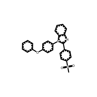 CS(=O)(=O)c1ccc(-c2nc3ccccc3n2-c2ccc(Oc3ccccc3)cc2)cc1